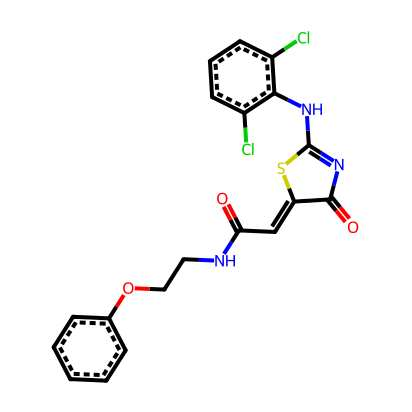 O=C(/C=C1\SC(Nc2c(Cl)cccc2Cl)=NC1=O)NCCOc1ccccc1